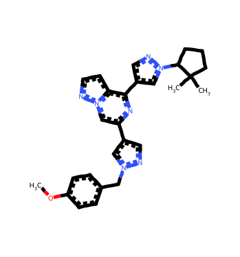 COc1ccc(Cn2cc(-c3cn4nccc4c(-c4cnn(C5CCCC5(C)C)c4)n3)cn2)cc1